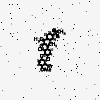 COc1ccc(Oc2c(Cl)ccc(N(C)C(=O)C(C)c3ccc(S(C)(=O)=O)cc3)c2Cl)cc1C(C)C